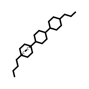 CCCCC12CCC(C3CCC(C4CCC(CCC)CC4)CC3)(CC1)CC2